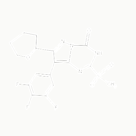 CS(=O)(=O)c1nc2c(-c3cc(F)c(F)c(F)c3)c(C3CCCCO3)nn2c(=O)[nH]1